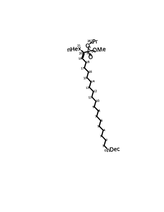 CCCCCCCCCCCCCCCCCCCCCCCCCCCCC=C(CCCCCC)P(=O)(OC)OC(C)C